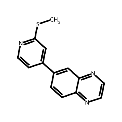 CSc1cc(-c2ccc3nccnc3c2)ccn1